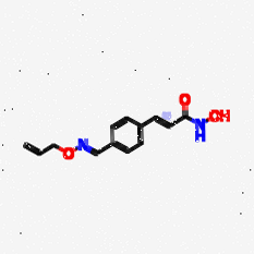 C=CCON=Cc1ccc(/C=C/C(=O)NO)cc1